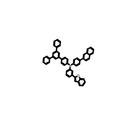 c1ccc(-c2cc(-c3ccccc3)cc(-c3ccc(N(c4ccc(-c5ccc6ccccc6c5)cc4)c4cccc(-c5cc6ccccc6o5)c4)cc3)c2)cc1